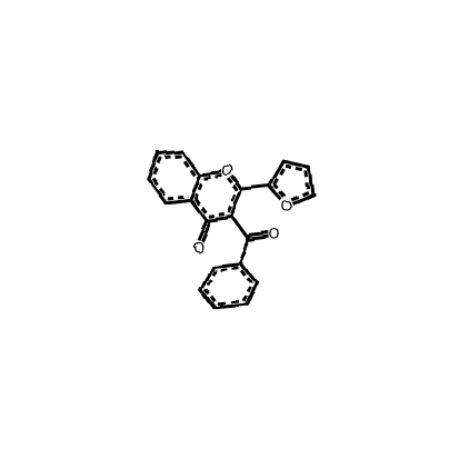 O=C(c1ccccc1)c1c(-c2ccco2)oc2ccccc2c1=O